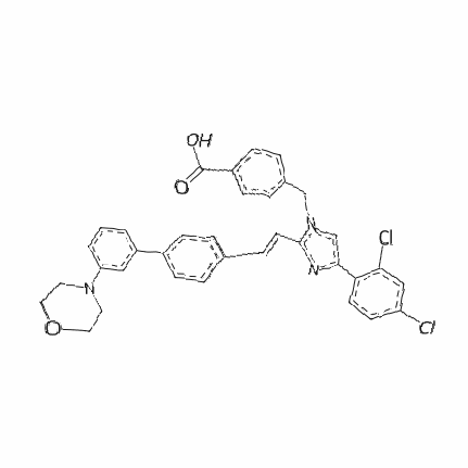 O=C(O)c1ccc(Cn2cc(-c3ccc(Cl)cc3Cl)nc2C=Cc2ccc(-c3cccc(N4CCOCC4)c3)cc2)cc1